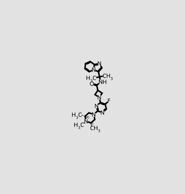 C[C@@H]1CN(c2ncc(F)c(N3CC(C(=O)NC(C)(C)c4cnc5ccccn45)C3)n2)C[C@H](C)N1C